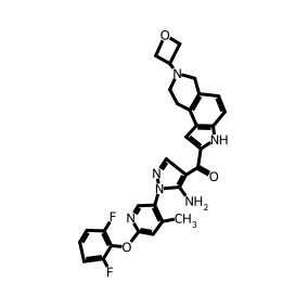 Cc1cc(Oc2c(F)cccc2F)ncc1-n1ncc(C(=O)c2cc3c4c(ccc3[nH]2)CN(C2COC2)CC4)c1N